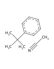 CC#N.CC(C)(C)c1ccccc1